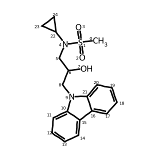 CS(=O)(=O)N(CC(O)Cn1c2ccccc2c2ccccc21)C1CC1